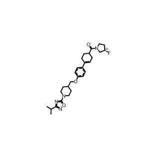 CC(C)c1noc(N2CCC(COc3ccc(C4=CCC(C(=O)N5CC[C@@H](F)C5)CC4)cc3)CC2)n1